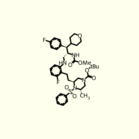 COC(=O)N[C@H](CNc1cccc(F)c1CC[C@H]1CN(C(=O)OC(C)(C)C)C[C@H](C)N1S(=O)(=O)c1ccccc1)[C@@H](c1ccc(F)cc1)C1CCOCC1